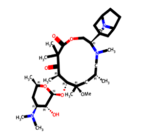 CO[C@]1(C)C[C@@H](C)CN(C)[C@H](C2CC3CCC(C2)N3C(C)C)COC(=O)C(C)(C)C(=O)[C@H](C)[C@H]1O[C@@H]1O[C@H](C)C[C@H](N(C)C)[C@H]1O